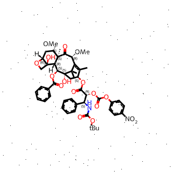 CO[C@H]1C(=O)[C@]2(C)[C@@H](OC)C[C@H]3OC[C@@]3(O)[C@H]2[C@H](OC(=O)c2ccccc2)[C@]2(O)C[C@H](OC(=O)[C@H](OC(=O)Oc3ccc([N+](=O)[O-])cc3)[C@@H](NC(=O)OC(C)(C)C)c3ccccc3)C(C)=C1C2(C)C